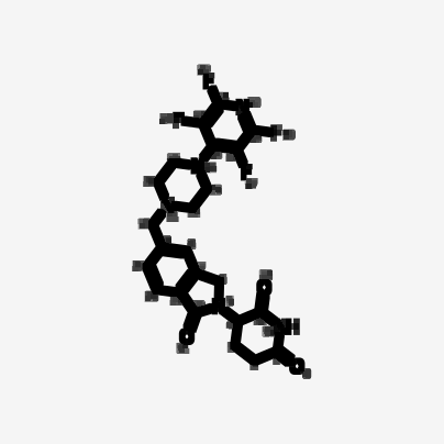 O=C1CCC(N2Cc3cc(CN4CCN(c5c(F)c(F)nc(F)c5F)CC4)ccc3C2=O)C(=O)N1